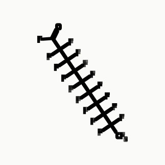 O=C(F)C(F)(F)C(F)(F)C(F)(F)C(F)(F)C(F)(F)C(F)(F)C(F)(F)C(F)(F)C(F)(F)F